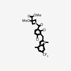 COC(=O)C1(OC)CN(C(=O)c2ccc(Cl)c(Cc3cc4c(C)cc(C(F)(F)F)cc4n3C)c2Cl)C1